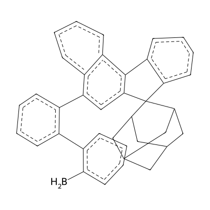 Bc1ccccc1-c1ccccc1-c1cc2c(c3ccccc13)-c1ccccc1C21C2CC3CC(C2)CC1C3